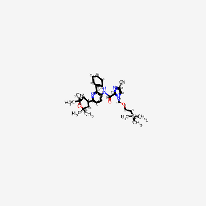 CC1(C)CC(c2ccc(NC(=O)c3nc(C#N)cn3COCC[Si](C)(C)C)c(C3=CCCCC3)n2)CC(C)(C)O1